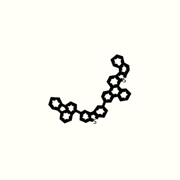 c1ccc2c(c1)-c1cccc3c(-c4ccc5sc6ccc(-c7ccc8c(c7)c7ccccc7c7c8ccc8c7sc7ccc9ccccc9c78)cc6c5c4)ccc-2c13